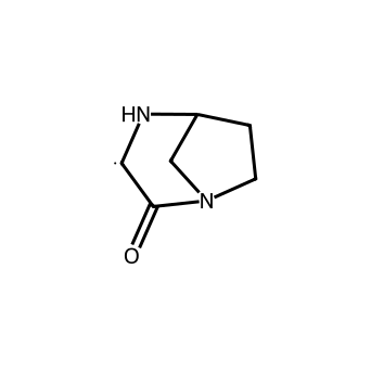 O=C1[CH]NC2CCN1C2